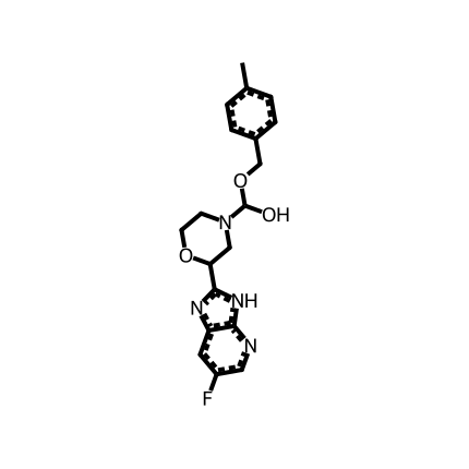 Cc1ccc(COC(O)N2CCOC(c3nc4cc(F)cnc4[nH]3)C2)cc1